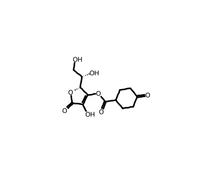 O=C1CCC(C(=O)OC2=C(O)C(=O)O[C@@H]2[C@@H](O)CO)CC1